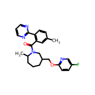 Cc1ccc(-c2ncccn2)c(C(=O)N2CC(COc3ccc(F)cn3)CCCC2C)c1